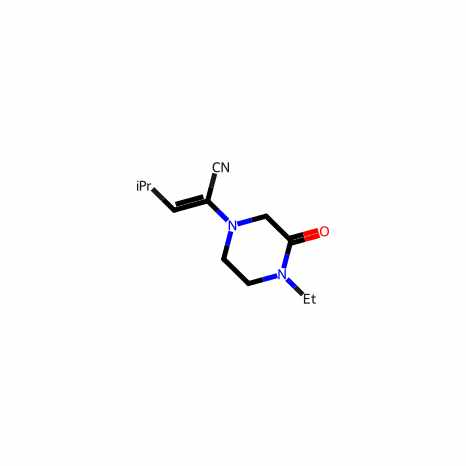 CCN1CCN(C(C#N)=CC(C)C)CC1=O